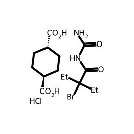 CCC(Br)(CC)C(=O)NC(N)=O.Cl.O=C(O)[C@H]1CC[C@H](C(=O)O)CC1